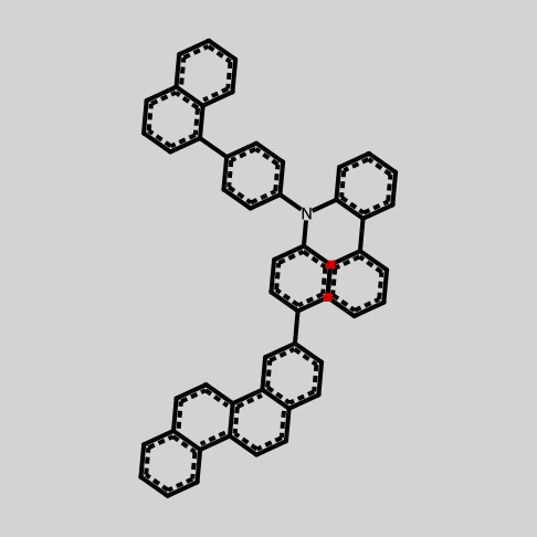 c1ccc(-c2ccccc2N(c2ccc(-c3ccc4ccc5c6ccccc6ccc5c4c3)cc2)c2ccc(-c3cccc4ccccc34)cc2)cc1